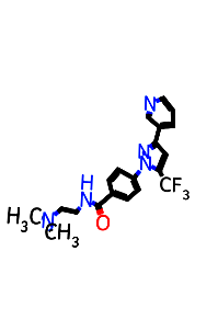 CN(C)CCNC(=O)c1ccc(-n2nc(-c3cccnc3)cc2C(F)(F)F)cc1